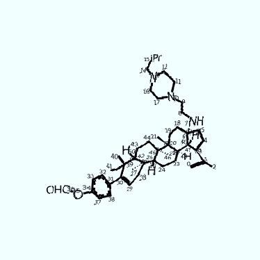 C=C(C)[C@@H]1CC[C@]2(NCCN3CCN(CC(C)C)CC3)CC[C@]3(C)[C@H](CC[C@@H]4[C@@]5(C)CC=C(c6ccc(OC=O)cc6)C(C)(C)[C@@H]5CC[C@]43C)[C@@H]12